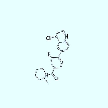 CC1CCCCN1C(=O)c1ccc(-c2ccc3nccc(Cl)c3c2)c(F)c1